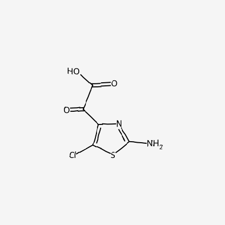 Nc1nc(C(=O)C(=O)O)c(Cl)s1